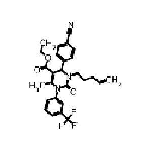 C=CCCCN1C(=O)N(c2cccc(C(F)(F)F)c2)C(C)=C(C(=O)OCC)C1c1ccc(C#N)cc1